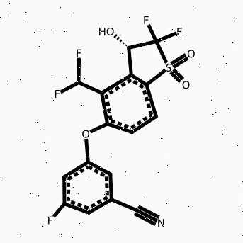 N#Cc1cc(F)cc(Oc2ccc3c(c2C(F)F)[C@H](O)C(F)(F)S3(=O)=O)c1